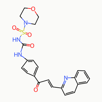 O=C(Nc1ccc(C(=O)C=Cc2ccc3ccccc3n2)cc1)NS(=O)(=O)N1CCOCC1